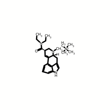 CCN(CC)C(=O)[C@@H]1C=C2c3cccc4[nH]cc(c34)C[C@H]2N(C)C1.C[N+](C)(C)C